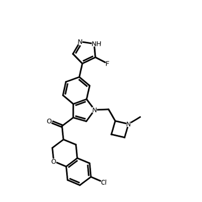 CN1CCC1Cn1cc(C(=O)C2COc3ccc(Cl)cc3C2)c2ccc(-c3cn[nH]c3F)cc21